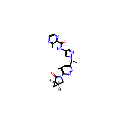 Cc1cc([C@H](C)n2cc(NC(=O)c3nccnc3C)cn2)nnc1N1C[C@H]2C[C@H]2C1=O